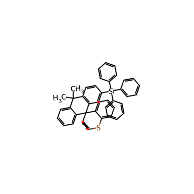 CC1(C)c2ccccc2C2(c3ccccc3Sc3ccccc32)c2cc([Si](c3ccccc3)(c3ccccc3)c3ccccc3)ccc21